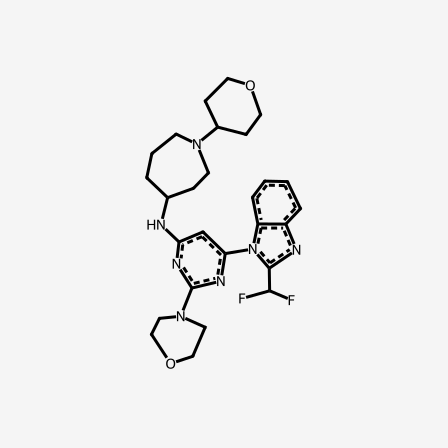 FC(F)c1nc2ccccc2n1-c1cc(NC2CCCN(C3CCOCC3)CC2)nc(N2CCOCC2)n1